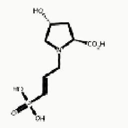 O=C(O)[C@@H]1C[C@@H](O)CN1CC=CP(=O)(O)O